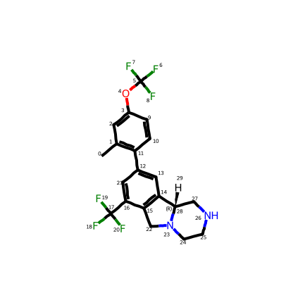 Cc1cc(OC(F)(F)F)ccc1-c1cc2c(c(C(F)(F)F)c1)CN1CCNC[C@@H]21